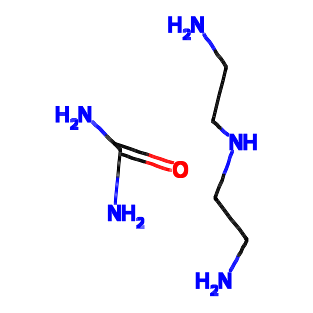 NC(N)=O.NCCNCCN